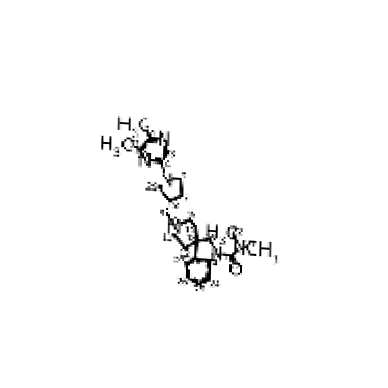 Cc1ncc(N2CC[C@H](CN3CCC4(CC3)CN(C(=O)N(C)C)c3ccccc34)C2)nc1C